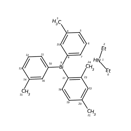 CCNCC.Cc1ccc[c]([Bi]([c]2cccc(C)c2)[c]2ccc(C)cc2C)c1